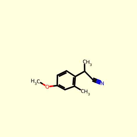 COc1ccc(C(C)C#N)c(C)c1